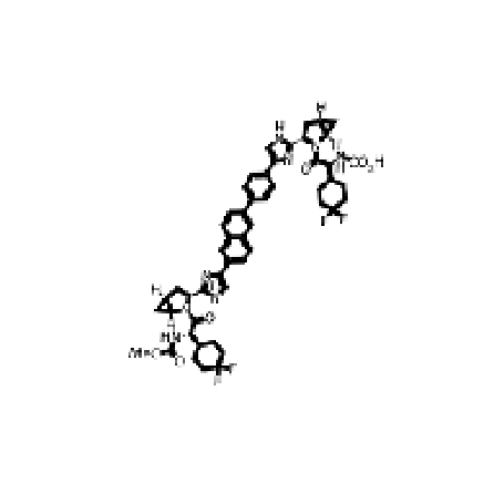 COC(=O)N[C@H](C(=O)N1[C@@H]2C[C@H]2C[C@H]1c1nc(-c2ccc3cc(-c4ccc(-c5c[nH]c([C@@H]6C[C@H]7C[C@H]7N6C(=O)[C@@H](NC(=O)O)C6CCC(F)(F)CC6)n5)cc4)ccc3c2)c[nH]1)C1CCC(F)(F)CC1